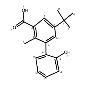 Cc1c(C(=O)O)cc(C(C)(C)C)cc1-c1ccccc1O